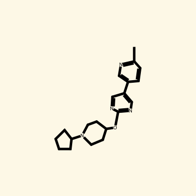 Cc1ccc(-c2cnc(OC3CCN(C4CCCC4)CC3)nc2)cn1